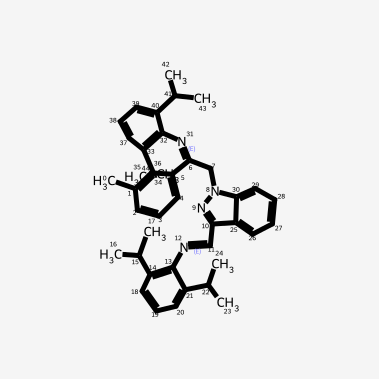 Cc1cccc(/C(Cn2nc(/C=N/c3c(C(C)C)cccc3C(C)C)c3ccccc32)=N\c2c(C(C)C)cccc2C(C)C)c1